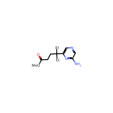 CCC(CC)(CCC(=O)OC)c1cncc(N)n1